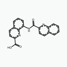 O=C(O)c1ccc2cccc(NC(=O)c3ccc4ccccc4n3)c2n1